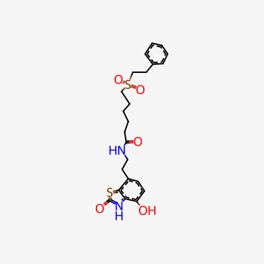 O=C(CCCCCS(=O)(=O)CCc1ccccc1)NCCc1ccc(O)c2[nH]c(=O)sc12